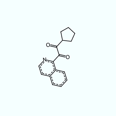 O=C(C(=O)C1CCCC1)c1nccc2ccccc12